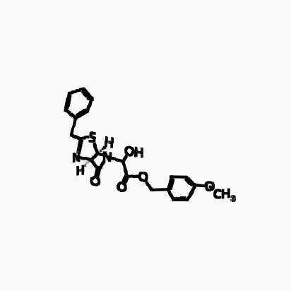 COc1ccc(COC(=O)C(O)N2C(=O)[C@H]3N=C(Cc4ccccc4)S[C@H]32)cc1